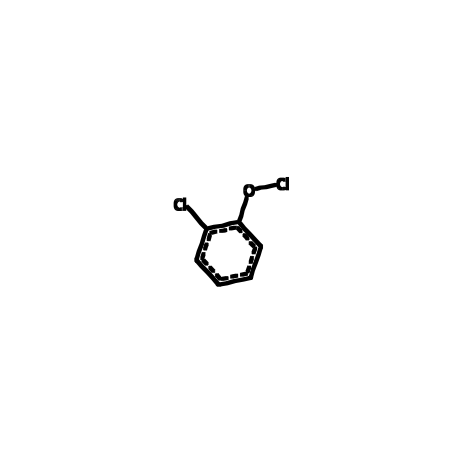 ClOc1ccccc1Cl